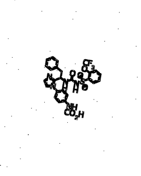 O=C(O)Nc1ccc(-n2ccnc2C(Cc2ccccc2)NC(=O)NS(=O)(=O)c2ccccc2OC(F)(F)F)cc1